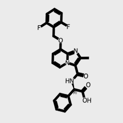 Cc1nc2c(OCc3c(F)cccc3F)cccn2c1C(=O)N[C@@H](C(=O)O)c1ccccc1